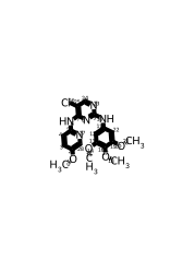 COc1ccc(Nc2nc(Nc3cc(OC)c(OC)c(OC)c3)ncc2Cl)nc1